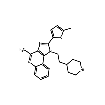 Cc1ccc(-c2nc3c(C(F)(F)F)nc4ccccc4c3n2CCC2CCNCC2)s1